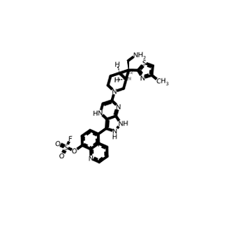 Cc1csc([C@@]2(CN)[C@@H]3CCN(C4=CNC5=C(c6ccc(OS(=O)(=O)F)c7ncccc67)NNC5=N4)C[C@@H]32)n1